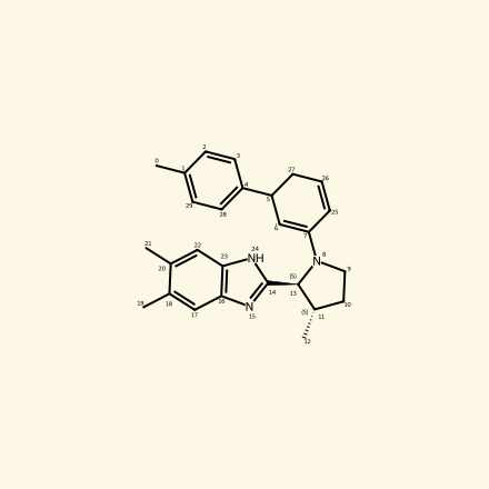 Cc1ccc(C2[C]=C(N3CC[C@H](C)[C@H]3c3nc4cc(C)c(C)cc4[nH]3)C=CC2)cc1